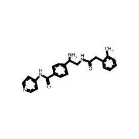 Cc1ccccc1CC(=O)NCC(N)c1ccc(C(=O)Nc2ccncc2)cc1